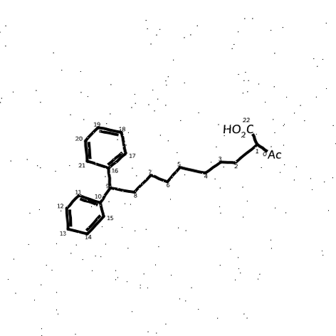 CC(=O)C(CCCCCCCC(c1ccccc1)c1ccccc1)C(=O)O